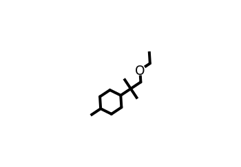 CCOCC(C)(C)C1CCC(C)CC1